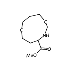 COC(=O)C1CCCCCCCCN1